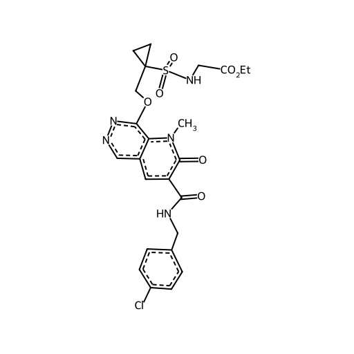 CCOC(=O)CNS(=O)(=O)C1(COc2nncc3cc(C(=O)NCc4ccc(Cl)cc4)c(=O)n(C)c23)CC1